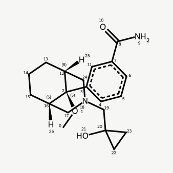 CO[C@]1(c2cccc(C(N)=O)c2)[C@@H]2CCC[C@H]1CN(CC1(O)CC1)C2